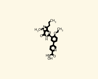 CCCc1nn(C)c2c(=O)[nH]c(-c3cc(-c4ccc(C(=O)NO)nc4)ccc3OCC)nc12